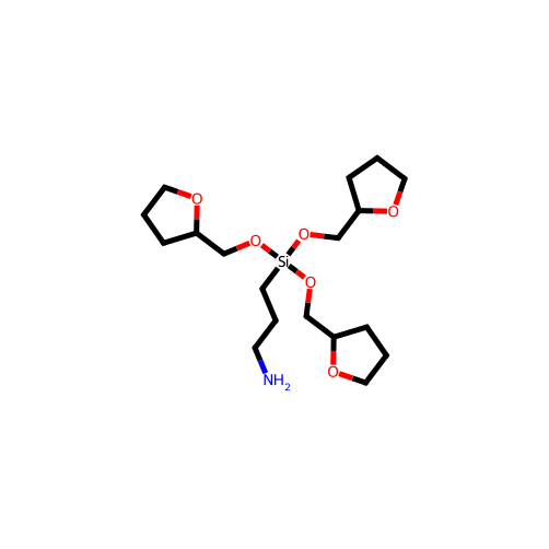 NCCC[Si](OCC1CCCO1)(OCC1CCCO1)OCC1CCCO1